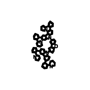 C1=CC(c2ccccc2-c2ccc3c(c2)c2cc(-c4ccccc4-c4ccccn4)ccc2n3-c2ccc3oc4ccc(-n5c6ccc(-c7ccccc7-c7ccccn7)cc6c6cc(-c7ccccc7-c7ccccn7)ccc65)cc4c3c2)=NCC1